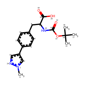 Cn1cc(-c2ccc(CC(NC(=O)OC(C)(C)C)C(=O)O)cc2)cn1